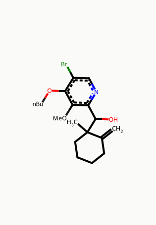 C=C1CCCCC1(C)C(O)c1ncc(Br)c(OCCCC)c1OC